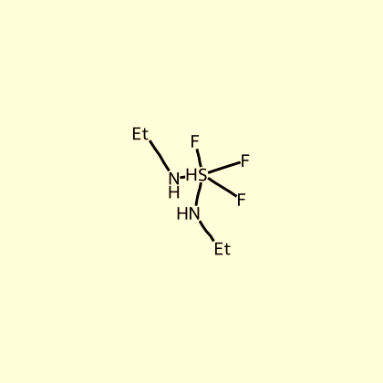 CCN[SH](F)(F)(F)NCC